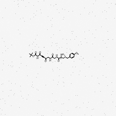 COc1ccc(CSC[C@H](N)C(=O)NCC(=O)NCC(=O)C#CC(=O)NC(=O)OC(C)(C)C)cc1